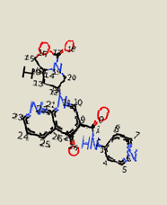 O=C(Nc1ccncc1)c1cn([C@H]2C[C@H]3COC(=O)N3C2)c2ncccc2c1=O